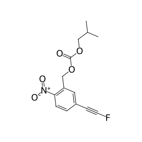 CC(C)COC(=O)OCc1cc(C#CF)ccc1[N+](=O)[O-]